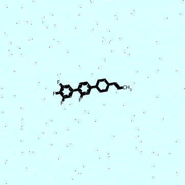 C/C=C/C1CCC(c2ccc(-c3cc(F)c(F)c(F)c3)c(F)c2)CC1